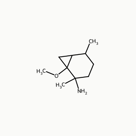 COC12CC1C(C)CCC2(C)N